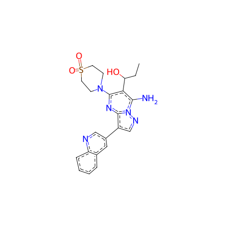 CCC(O)c1c(N2CCS(=O)(=O)CC2)nc2c(-c3cnc4ccccc4c3)cnn2c1N